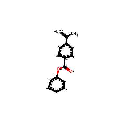 C=C(C)c1ccc(C(=O)Oc2ccccc2)cc1